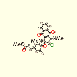 CNc1c(Cl)c(Oc2ccc(CCC(=O)OC)cc2C)c(NC)c2c1C(=O)c1ccccc1C2=O